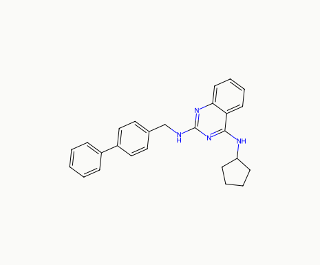 c1ccc(-c2ccc(CNc3nc(NC4CCCC4)c4ccccc4n3)cc2)cc1